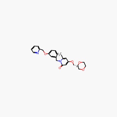 Cc1cc(OC[C@H]2COCCO2)cc(=O)n1Cc1cccc(OCc2ccccn2)c1